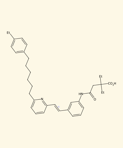 CCc1ccc(CCCCCCc2cccc(/C=C/c3cccc(NC(=O)CC(CC)(CC)C(=O)O)c3)n2)cc1